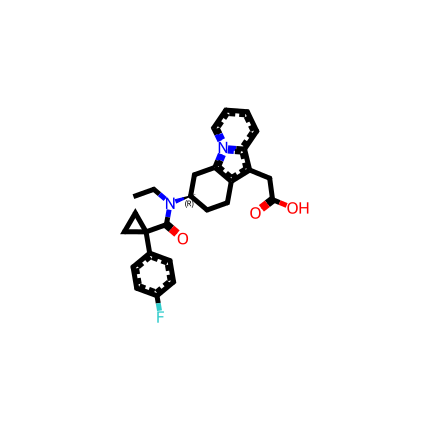 CCN(C(=O)C1(c2ccc(F)cc2)CC1)[C@@H]1CCc2c(CC(=O)O)c3ccccn3c2C1